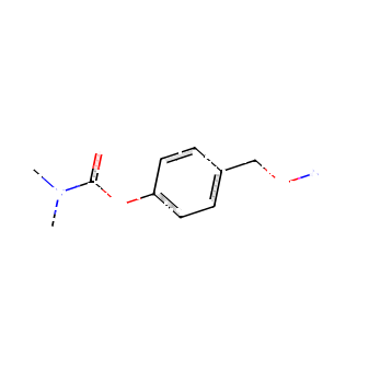 CN(C)C(=O)Oc1ccc(CON)cc1